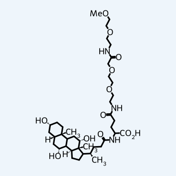 COCCOCCNC(=O)COCCOCCNC(=O)CCC(NC(=O)CC[C@@H](C)C1CC[C@H]2C3C(C[C@H](O)[C@]12C)[C@@]1(C)CC[C@@H](O)C[C@H]1C[C@H]3O)C(=O)O